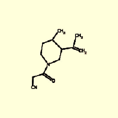 C=C(C)C1CN(C(=O)CC#N)CCC1C